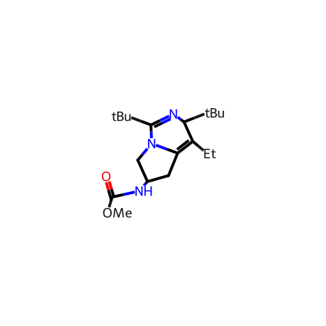 CCC1=C2CC(NC(=O)OC)CN2C(C(C)(C)C)=NC1C(C)(C)C